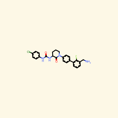 NCc1cccc(-c2ccc(N3CCCC(NC(=O)Nc4ccc(Cl)cc4)C3=O)cc2)c1F